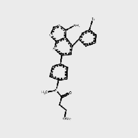 COCCC(=O)N(C)c1ccc(-c2cc(-c3cccc(Br)c3)c3c(N)ncnc3n2)cc1